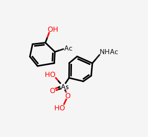 CC(=O)Nc1ccc([As](=O)(O)OO)cc1.CC(=O)c1ccccc1O